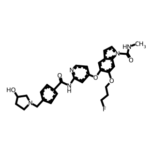 CNC(=O)n1ccc2cc(Oc3ccnc(NC(=O)c4ccc(CN5CCC(O)C5)cc4)c3)c(OCCCF)cc21